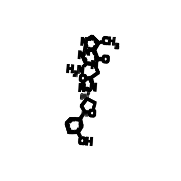 Cc1cnn2nc(N)n(Cc3nc([C@@H]4CO[C@@H](c5cccc(O)c5)C4)no3)c(=O)c12